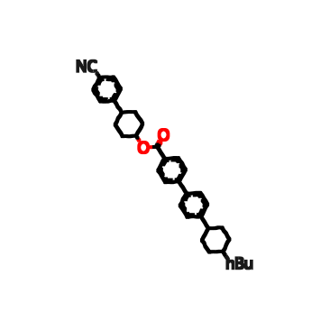 CCCCC1CCC(c2ccc(-c3ccc(C(=O)OC4CCC(c5ccc(C#N)cc5)CC4)cc3)cc2)CC1